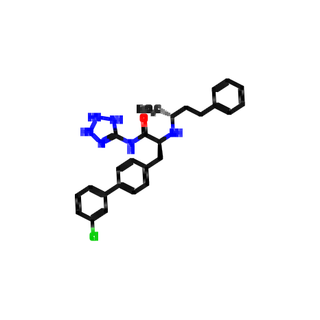 CCOC(=O)[C@H](CCc1ccccc1)N[C@@H](Cc1ccc(-c2cccc(Cl)c2)cc1)C(=O)NC1=NNNN1